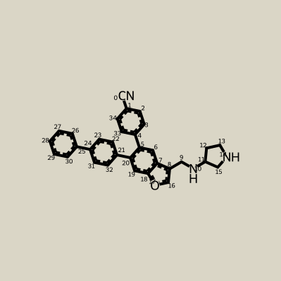 N#Cc1ccc(-c2cc3c(CNC4CCNC4)coc3cc2-c2ccc(-c3ccccc3)cc2)cc1